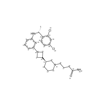 C[C@@H](Nc1cncc(N2CC([C@@H]3CCCN(CCCC(N)=O)C3)C2)n1)c1ccc(Cl)cc1Cl